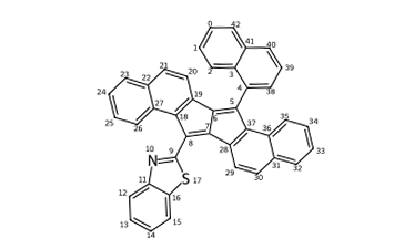 c1ccc2c(C3=C4C(=C(c5nc6ccccc6s5)c5c4ccc4ccccc54)c4ccc5ccccc5c43)cccc2c1